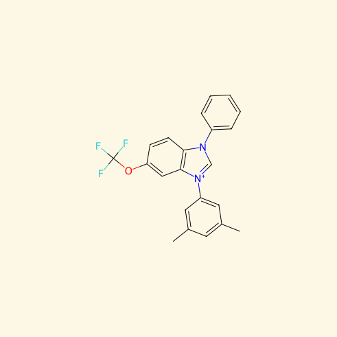 Cc1cc(C)cc(-[n+]2cn(-c3ccccc3)c3ccc(OC(F)(F)F)cc32)c1